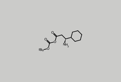 CC(C)(C)OC(=O)OC(=O)C[C@H](N)C1CCCCC1